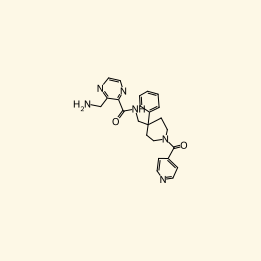 NCc1nccnc1C(=O)NCC1(c2ccccc2)CCN(C(=O)c2ccncc2)CC1